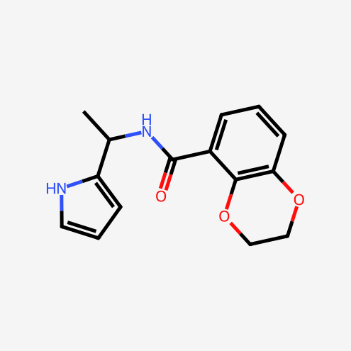 CC(NC(=O)c1cccc2c1OCCO2)c1ccc[nH]1